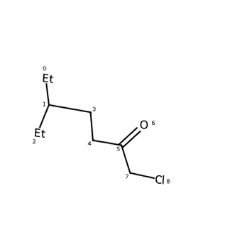 CCC(CC)CCC(=O)CCl